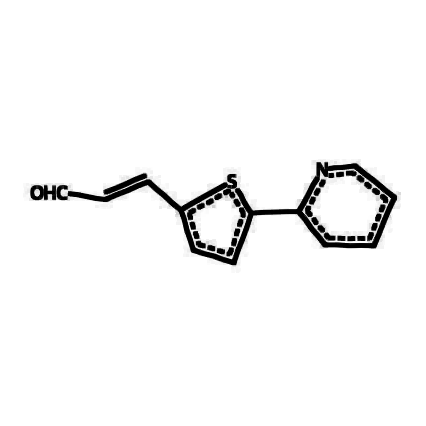 O=C/C=C/c1ccc(-c2ccccn2)s1